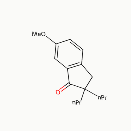 CCCC1(CCC)Cc2ccc(OC)cc2C1=O